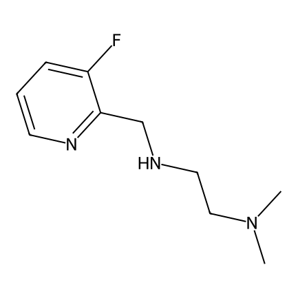 CN(C)CCNCc1ncccc1F